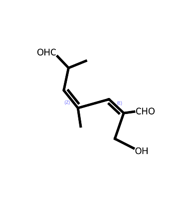 CC(=C/C(C)C=O)/C=C(/C=O)CO